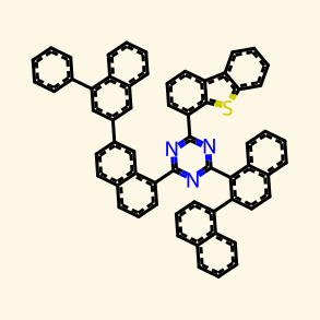 c1ccc(-c2cc(-c3ccc4cccc(-c5nc(-c6c(-c7cccc8ccccc78)ccc7ccccc67)nc(-c6cccc7c6sc6ccccc67)n5)c4c3)cc3ccccc23)cc1